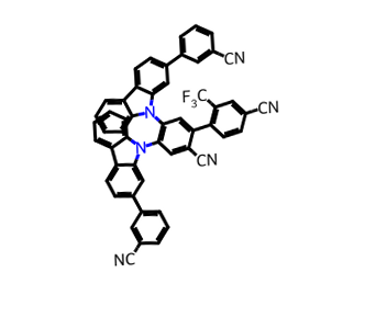 N#Cc1cccc(-c2ccc3c4ccccc4n(-c4cc(C#N)c(-c5ccc(C#N)cc5C(F)(F)F)cc4-n4c5ccccc5c5ccc(-c6cccc(C#N)c6)cc54)c3c2)c1